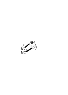 CCN.N#CS